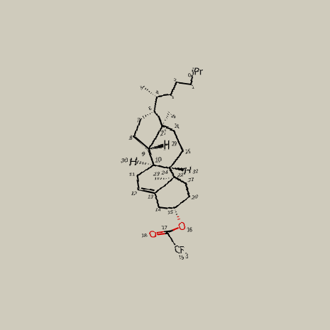 CC(C)CCC[C@@H](C)[C@H]1CC[C@H]2[C@@H]3CC=C4C[C@@H](OC(=O)C(F)(F)F)CC[C@]4(C)[C@H]3CC[C@]12C